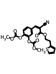 COC(=O)Oc1ccc(C=C(C#N)C(=O)OCCc2cccs2)cc1OC(=O)OC